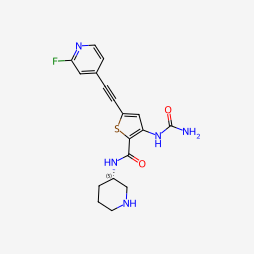 NC(=O)Nc1cc(C#Cc2ccnc(F)c2)sc1C(=O)N[C@H]1CCCNC1